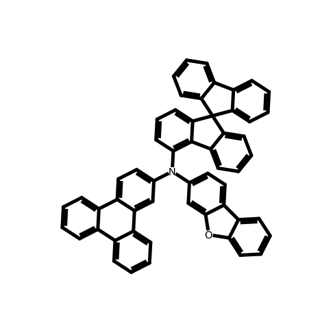 c1ccc2c(c1)-c1ccccc1C21c2ccccc2-c2c(N(c3ccc4c(c3)oc3ccccc34)c3ccc4c5ccccc5c5ccccc5c4c3)cccc21